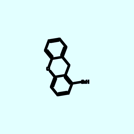 [SeH]c1cccc2c1Cc1ccccc1O2